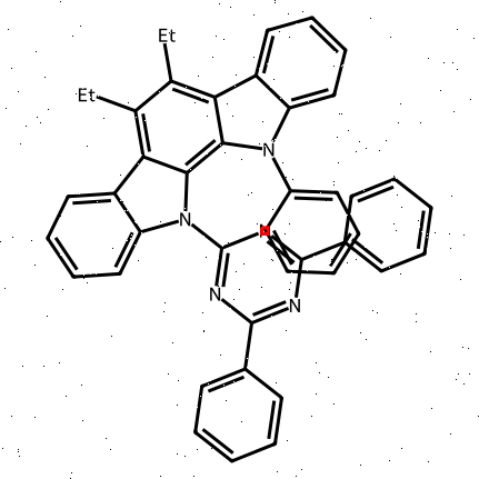 CCc1c(CC)c2c3ccccc3n(-c3nc(-c4ccccc4)nc(-c4ccccc4)n3)c2c2c1c1ccccc1n2-c1ccccc1